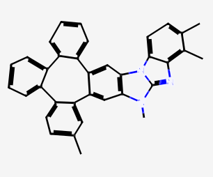 Cc1ccc2c(c1)-c1cc3c(cc1-c1ccccc1-c1ccccc1-2)n1c2ccc(C)c(C)c2nc1n3C